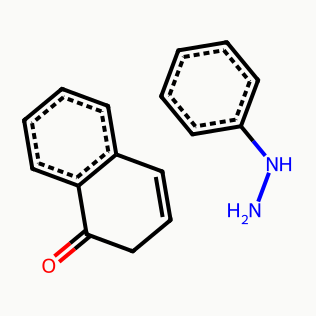 NNc1ccccc1.O=C1CC=Cc2ccccc21